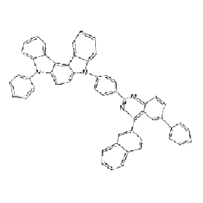 c1ccc(-c2ccc3nc(-c4ccc(-n5c6ccccc6c6c7c8ccccc8n(-c8ccccc8)c7ccc65)cc4)nc(-c4ccc5ccccc5c4)c3c2)cc1